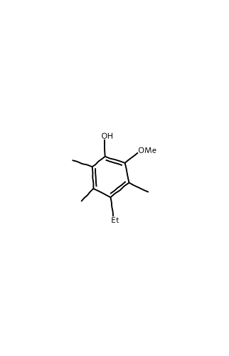 CCc1c(C)c(C)c(O)c(OC)c1C